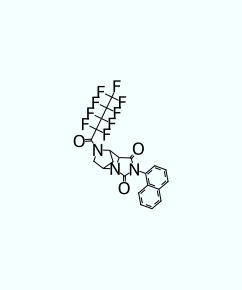 O=C1C2C3CC(CN3C(=O)C(F)(F)C(F)(F)C(F)(F)C(F)(F)F)N2C(=O)N1c1cccc2ccccc12